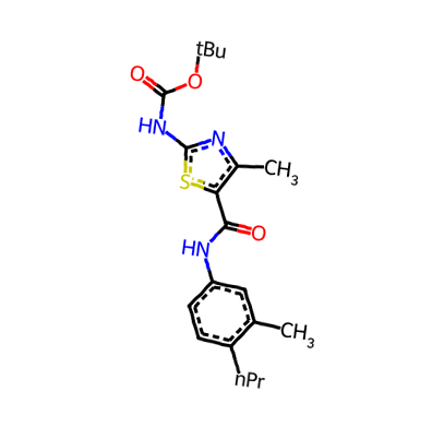 CCCc1ccc(NC(=O)c2sc(NC(=O)OC(C)(C)C)nc2C)cc1C